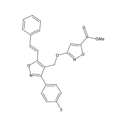 COC(=O)c1cc(OCc2c(-c3ccc(F)cc3)noc2/C=C/c2ccccc2)no1